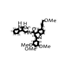 COCC#Cc1ccc2nc(-c3cc(OC)c(OC)c(OC)c3)cc(C(=O)N[C@@H](CO)Cc3c[nH]c4ccccc34)c2c1